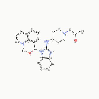 CCOC(c1cccc2cccnc12)n1c(NC2CCN(CC(O)C(C)C)CC2)nc2ccccc21